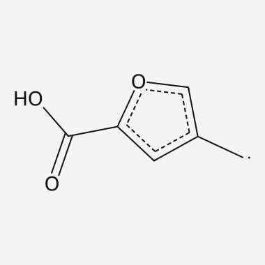 [CH2]c1coc(C(=O)O)c1